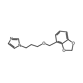 c1cc(COCCCn2ccnc2)c2c(c1)OCO2